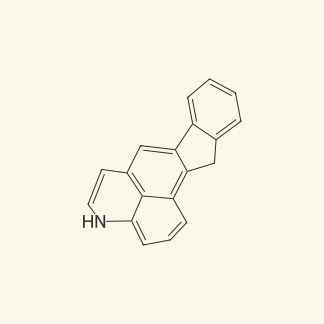 C1=Cc2cc3c(c4cccc(c24)N1)Cc1ccccc1-3